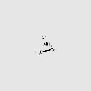 [AlH3].[BH2][Ce].[Cr]